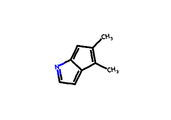 CC1=C(C)C2=CC=NC2=C1